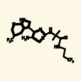 CC(C)(Nc1ncc(N)c(-c2c[nH]c3ncc(C(F)(F)F)cc23)n1)C(=O)NCCC(F)(F)F